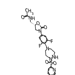 CC(=O)NC[C@H]1CN(c2cc(F)c(N3CCNN(S(=O)(=O)c4ccccn4)CC3)c(F)c2)C(=O)O1